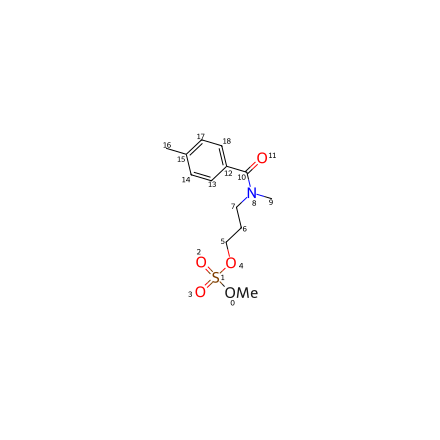 COS(=O)(=O)OCCCN(C)C(=O)c1ccc(C)cc1